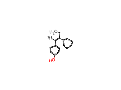 [2H]C(=C(CC)c1ccccc1)c1ccc(O)cc1